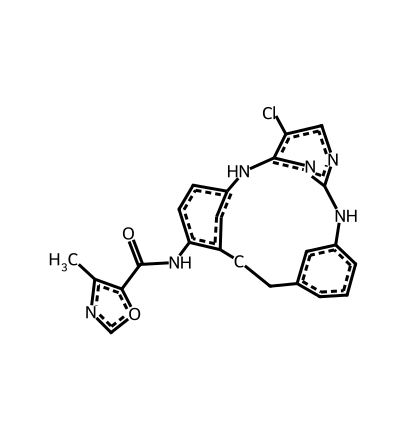 Cc1ncoc1C(=O)Nc1ccc2cc1CCc1cccc(c1)Nc1ncc(Cl)c(n1)N2